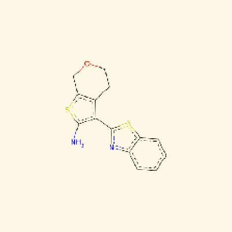 Nc1sc2c(c1-c1nc3ccccc3s1)CCOC2